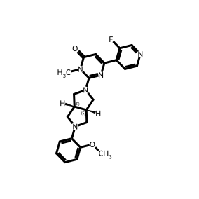 COc1ccccc1N1C[C@@H]2CN(c3nc(-c4ccncc4F)cc(=O)n3C)C[C@@H]2C1